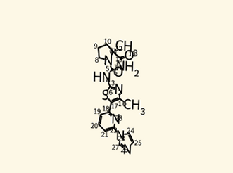 Cc1nc(NC(=O)N2CCC[C@@]2(C)C(N)=O)sc1-c1cccc(-n2ccnc2)n1